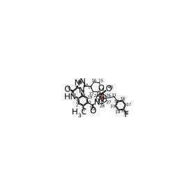 Cc1cc2[nH]c(=O)c3nnc(C4CCOCC4)n3c2cc1C(=O)N1CC2CCC1CN(Cc1ccc(F)cc1)C2=O